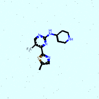 Cc1cnc(-c2nc(NC3CCNCC3)ncc2C(F)(F)F)s1